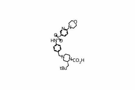 CC(C)(C)C[C@H]1CN(Cc2ccc(NS(=O)(=O)c3ccc(N4CCOCC4)nc3)cc2)CCN1C(=O)O